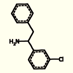 NC(Cc1ccccc1)c1cccc(Cl)c1